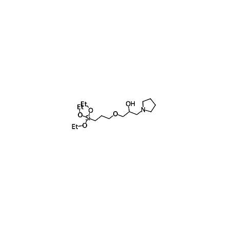 CCO[Si](CCCOCC(O)CN1CCCC1)(OCC)OCC